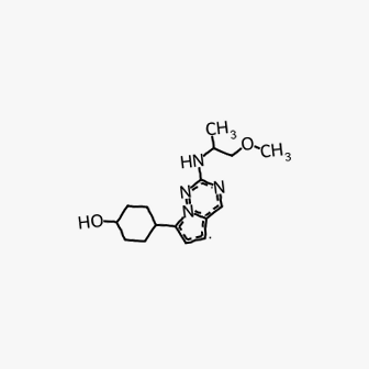 COCC(C)Nc1ncc2[c]cc(C3CCC(O)CC3)n2n1